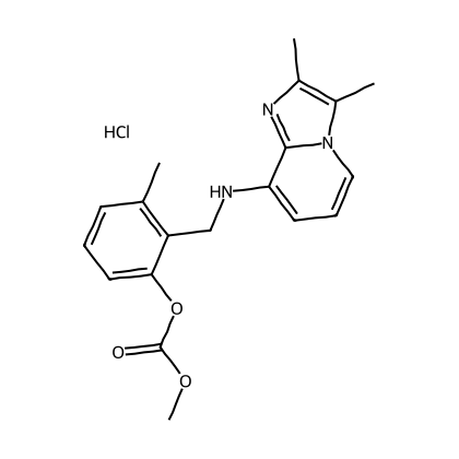 COC(=O)Oc1cccc(C)c1CNc1cccn2c(C)c(C)nc12.Cl